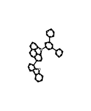 c1ccc(-c2cc(-c3ccccc3)cc(-n3c4cccc5ccc6c(-c7cccc8c7oc7ccccc78)ccc3c6c54)c2)cc1